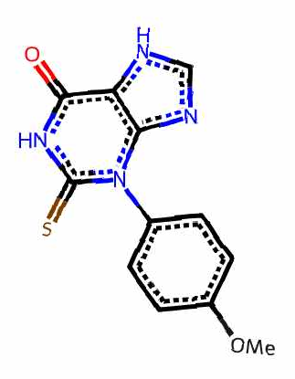 COc1ccc(-n2c(=S)[nH]c(=O)c3[nH]cnc32)cc1